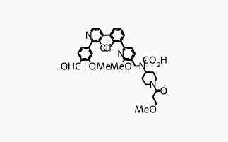 COCCC(=O)N1CCC(N(Cc2ccc(-c3cccc(-c4ccnc(-c5ccc(C=O)c(OC)c5)c4Cl)c3Cl)nc2OC)C(=O)O)CC1